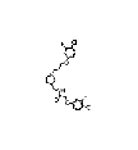 O=C(COc1ccc(Cl)c(F)c1)NCC1CCN(CCCOc2ccc(Cl)c(F)c2)C1